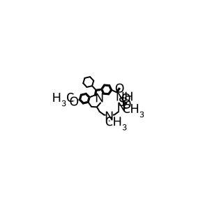 COc1ccc2c(c1)CC1CCN(C)CCN(C)S(=O)(=O)NC(=O)c3ccc4c(C5CCCCC5)c-2n(c4c3)C1